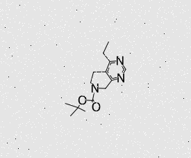 CCc1ncnc2c1CCN(C(=O)OC(C)(C)C)C2